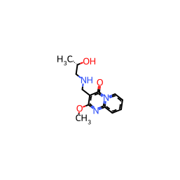 COc1nc2ccccn2c(=O)c1CNC[C@H](C)O